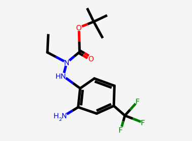 CCN(Nc1ccc(C(F)(F)F)cc1N)C(=O)OC(C)(C)C